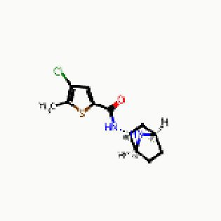 Cc1sc(C(=O)N[C@@H]2C[C@H]3CC[C@@H]2N3)cc1Cl